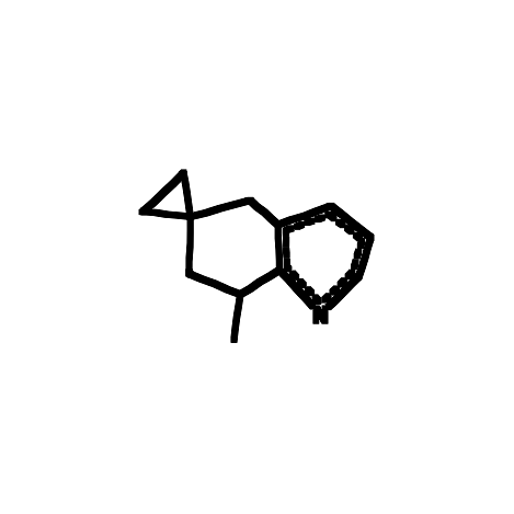 CC1CC2(CC2)Cc2cccnc21